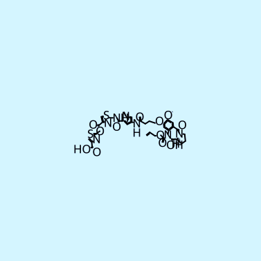 C=CCOC(=O)N1c2cc(OCCCC(=O)Nc3cc(C(=O)Nc4nc(C(=O)Oc5nc(C(=O)O)cs5)cs4)n(C)c3)c(OC)cc2C(=O)N2CCC[C@H]2C1O